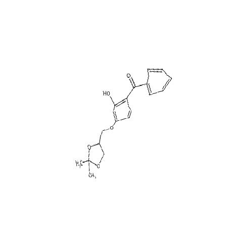 CC1(C)OCC(COc2ccc(C(=O)c3ccccc3)c(O)c2)O1